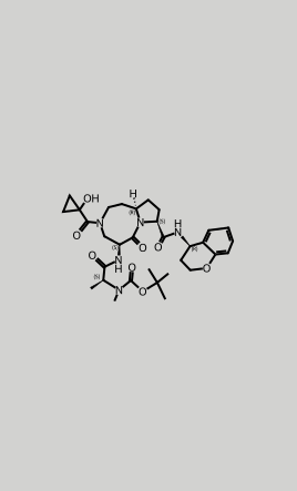 C[C@@H](C(=O)N[C@H]1CN(C(=O)C2(O)CC2)CC[C@H]2CC[C@@H](C(=O)N[C@@H]3CCOc4ccccc43)N2C1=O)N(C)C(=O)OC(C)(C)C